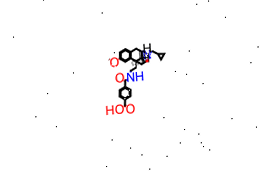 COc1ccc2c(c1)[C@@]1(CCNC(=O)c3ccc(C(=O)O)cc3)CCN(CC3CC3)[C@H](C2)[C@@H]1C